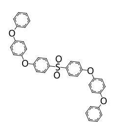 O=S(=O)(c1ccc(Oc2ccc(Oc3ccccc3)cc2)cc1)c1ccc(Oc2ccc(Oc3ccccc3)cc2)cc1